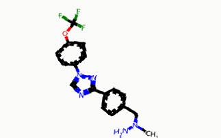 CN(N)Cc1ccc(-c2ncn(-c3ccc(OC(F)(F)F)cc3)n2)cc1